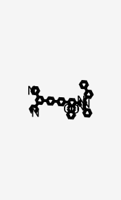 C1=CC2Oc3c(-c4ccc(-c5ccc(-c6cc(-c7cccnc7)cc(-c7cccnc7)c6)cc5)cc4)ccc(-c4nc(-c5ccccc5)nc(-c5cccc(-c6ccccc6)c5)n4)c3OC2C=C1